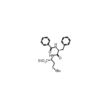 CCOC(=O)[C@H](CSC(C)(C)C)NC(=O)[C@H](Cc1ccccc1)NC(=O)c1ccccc1